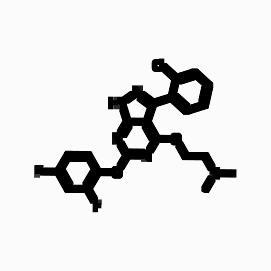 CN(C)CCOc1nc(Oc2ccc(F)cc2F)nc2[nH]nc(-c3ccccc3Cl)c12